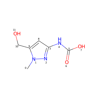 Cn1nc(NC(=O)O)cc1CO